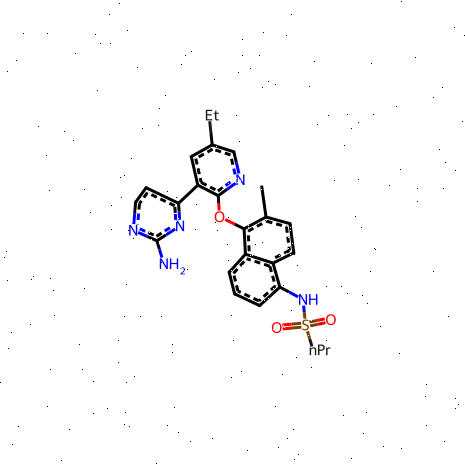 CCCS(=O)(=O)Nc1cccc2c(Oc3ncc(CC)cc3-c3ccnc(N)n3)c(C)ccc12